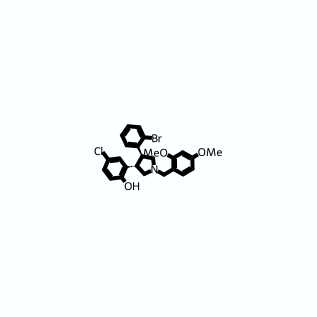 COc1ccc(CN2C[C@H](c3cc(Cl)ccc3O)[C@@H](c3ccccc3Br)C2)c(OC)c1